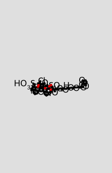 CC1(C)C=C(CS(=O)(=O)O)c2cc3c(c4c2N1CCC4)Oc1c(cc2c4c1CCCN4C(C)(C)C=C2CS(=O)(=O)O)C31c2c(Cl)ccc(Cl)c2C(=O)N1CCN1CCN(C(=O)CCOCCOCCOCCOCCC(=O)ON2C(=O)CCC2=O)CC1